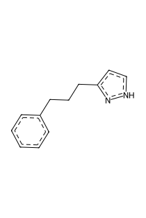 c1ccc(CCCc2cc[nH]n2)cc1